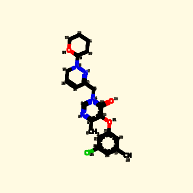 Cc1ncn(CC2=NN(C3CCCCO3)CC=C2)c(=O)c1Oc1cc(Cl)cc(C#N)c1